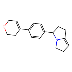 C1=C(c2ccc(C3CCC4=CCCN43)cc2)CCOC1